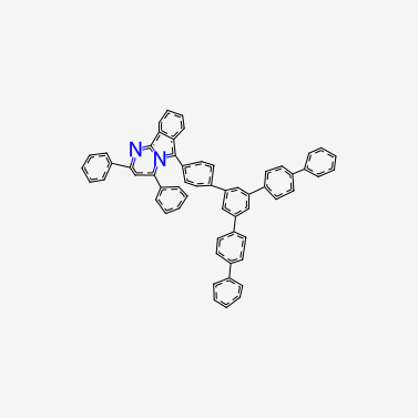 c1ccc(-c2ccc(-c3cc(-c4ccc(-c5ccccc5)cc4)cc(-c4ccc(-c5c6ccccc6c6nc(-c7ccccc7)cc(-c7ccccc7)n56)cc4)c3)cc2)cc1